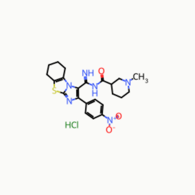 CN1CCCC(C(=O)NC(=N)c2c(-c3ccc([N+](=O)[O-])cc3)nc3sc4c(n23)CCCC4)C1.Cl